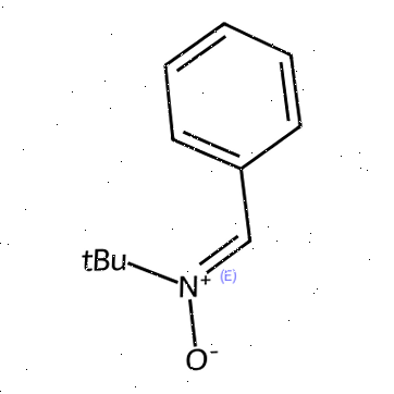 CC(C)(C)/[N+]([O-])=C\c1ccccc1